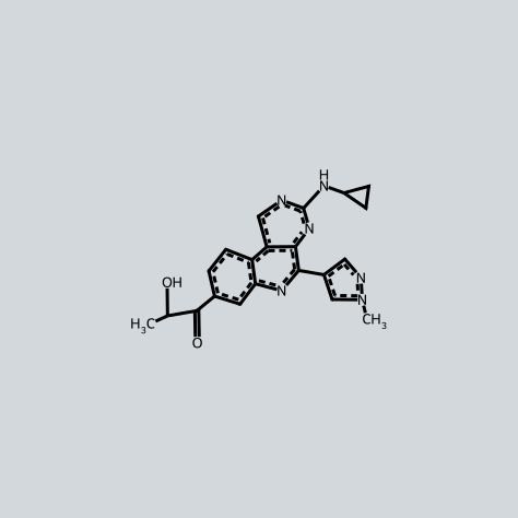 CC(O)C(=O)c1ccc2c(c1)nc(-c1cnn(C)c1)c1nc(NC3CC3)ncc12